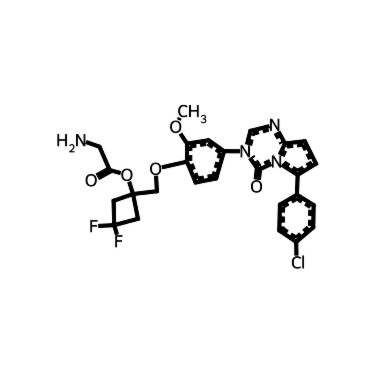 COc1cc(-n2cnc3ccc(-c4ccc(Cl)cc4)n3c2=O)ccc1OCC1(OC(=O)CN)CC(F)(F)C1